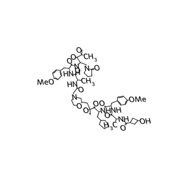 COc1ccc(CC(NC(=O)C(C)NC(=O)CN2CCOC(CC3(C(=O)C(CC4CCCC4)NC(=O)C(Cc4ccc(OC)cc4)NC(=O)C(C)NC(=O)C4CC(O)C4)CO3)C2)C(=O)NC(CN2CCCC2=O)C(=O)C2(C)CO2)cc1